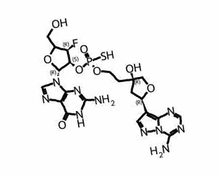 Nc1nc2c(ncn2[C@@H]2OC(CO)[C@@H](F)[C@H]2OP(=O)(S)OCC[C@]2(O)CO[C@@H](c3cnn4c(N)ncnc34)C2)c(=O)[nH]1